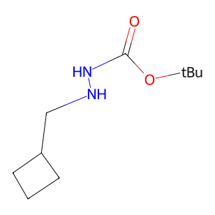 CC(C)(C)OC(=O)NNCC1CCC1